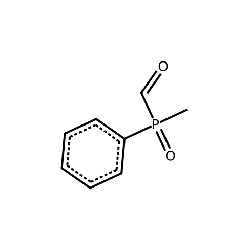 CP(=O)(C=O)c1ccccc1